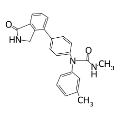 CNC(=O)N(c1ccc(-c2cccc3c2CNC3=O)cc1)c1cccc(C)c1